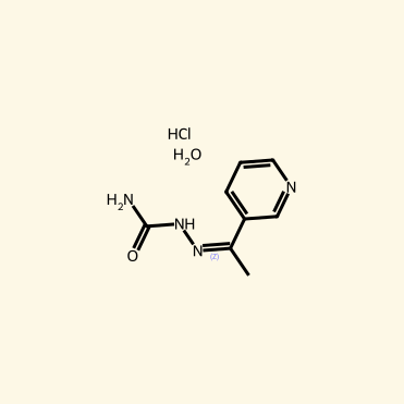 C/C(=N/NC(N)=O)c1cccnc1.Cl.O